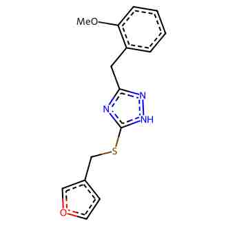 COc1ccccc1Cc1n[nH]c(SCc2ccoc2)n1